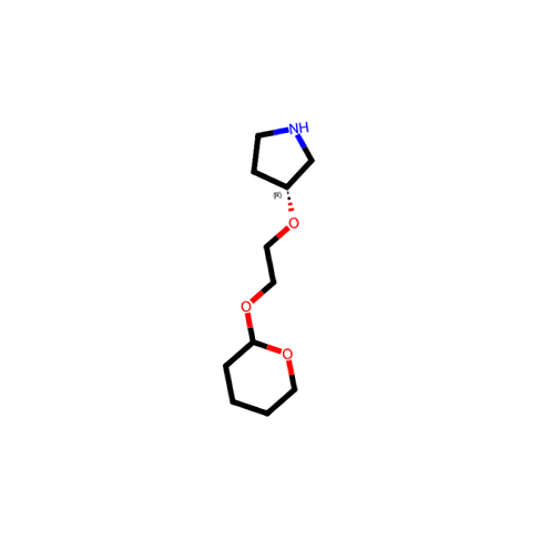 C1CCC(OCCO[C@@H]2CCNC2)OC1